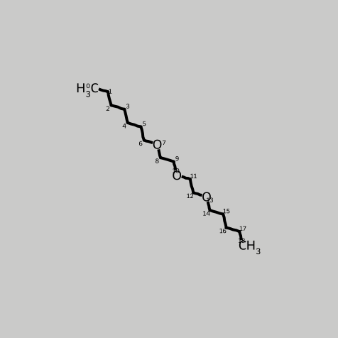 CCCCCCCOCCOCCOCCCCC